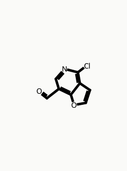 O=Cc1cnc(Cl)c2ccoc12